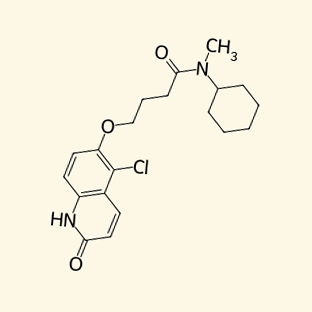 CN(C(=O)CCCOc1ccc2[nH]c(=O)ccc2c1Cl)C1CCCCC1